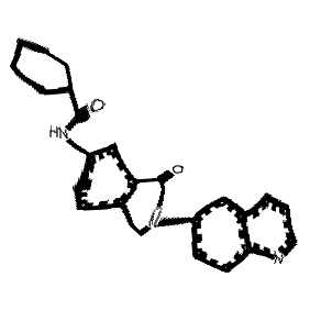 O=C(Nc1ccc2c(c1)C(=O)N(c1ccc3ncccc3c1)C2)C1CCCCC1